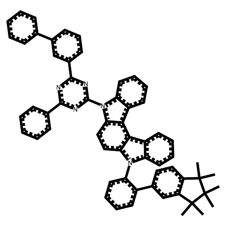 CC1(C)c2ccc(-c3ccccc3-n3c4ccccc4c4c5c6ccccc6n(-c6nc(-c7ccccc7)nc(-c7cccc(-c8ccccc8)c7)n6)c5ccc43)cc2C(C)(C)C1(C)C